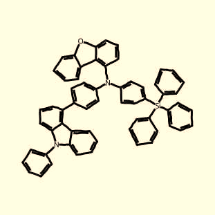 c1ccc(-n2c3ccccc3c3c(-c4ccc(N(c5ccc([Si](c6ccccc6)(c6ccccc6)c6ccccc6)cc5)c5cccc6oc7ccccc7c56)cc4)cccc32)cc1